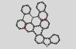 c1ccc(-c2ccccc2N(c2cccc3ccccc23)c2cccc3c4ccc5oc6ccccc6c5c4c4ccccc4c23)cc1